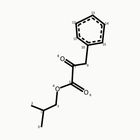 CC(C)COC(=O)C(=O)Cc1ccccc1